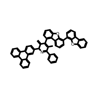 C=C1C(c2cccc3oc4c(-c5cccc6c5oc5ccccc56)cccc4c23)=C(C)C(c2ccccc2)=NC1c1ccc2c3ccccc3c3ccccc3c2c1